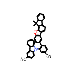 CC1(C)c2c(ccc3c2oc2ccc(-c4ccc(C#N)cc4-n4c5ccccc5c5cc(C#N)ccc54)cc23)C2C=CC=CC21